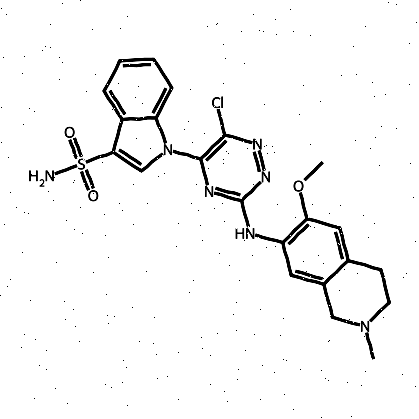 COc1cc2c(cc1Nc1nnc(Cl)c(-n3cc(S(N)(=O)=O)c4ccccc43)n1)CN(C)CC2